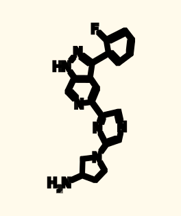 NC1CCN(c2cncc(-c3cc4c(-c5ccccc5F)n[nH]c4cn3)n2)C1